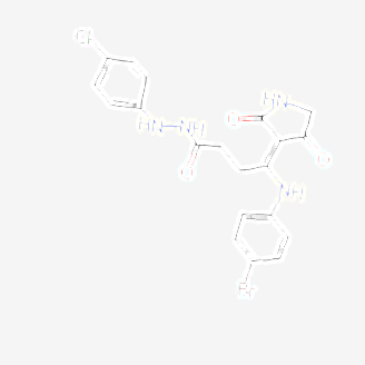 O=C(CCC(Nc1ccc(Br)cc1)=C1C(=O)CNC1=O)NNc1ccc(Cl)cc1